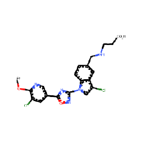 CC(C)Oc1ncc(-c2nc(-n3cc(Cl)c4cc(CNCCC(=O)O)ccc43)no2)cc1Cl